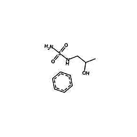 CC(O)CNS(N)(=O)=O.c1ccccc1